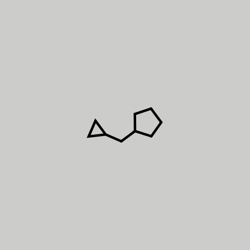 C1CC[C](CC2CC2)C1